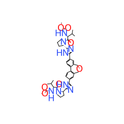 COC(=O)NC(C(=O)N1CCC[C@H]1c1ncc(-c2ccc3c(c2)COCc2cc(-c4cnc(C5CCCN5C(=O)[C@@H](NC(=O)OC)C(C)C)[nH]4)ccc2-3)[nH]1)C(C)C